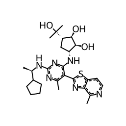 Cc1nc(N[C@H](C)C2CCCC2)nc(N[C@@H]2C[C@H](C(C)(C)O)[C@@H](O)[C@H]2O)c1-c1nc2c(C)nccc2s1